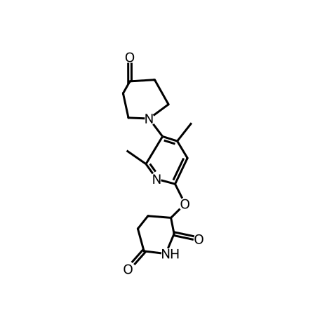 Cc1cc(OC2CCC(=O)NC2=O)nc(C)c1N1CCC(=O)CC1